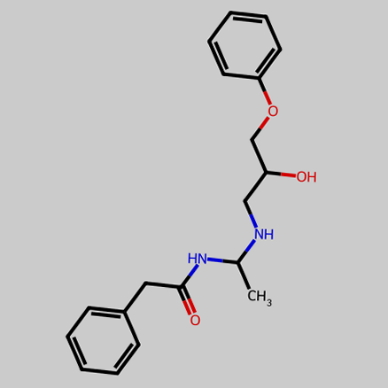 CC(NCC(O)COc1ccccc1)NC(=O)Cc1ccccc1